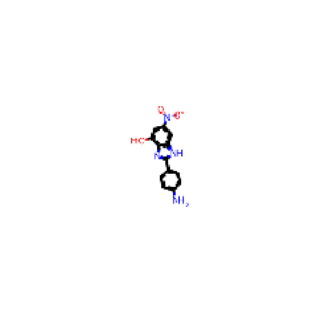 Nc1ccc(-c2nc3c(O)cc([N+](=O)[O-])cc3[nH]2)cc1